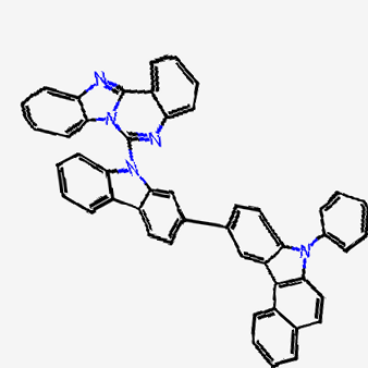 c1ccc(-n2c3ccc(-c4ccc5c6ccccc6n(-c6nc7ccccc7c7nc8ccccc8n67)c5c4)cc3c3c4ccccc4ccc32)cc1